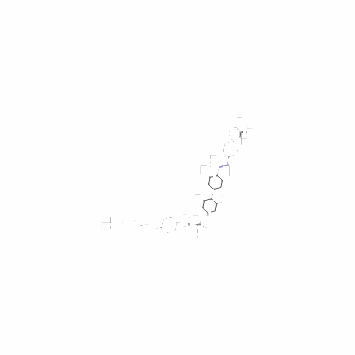 CCCCCC1CCC(OCC(F)(F)Oc2cc(F)c(-c3ccc(/C(F)=C(\F)C4CCC(OC(F)(F)F)CC4)c(F)c3)c(F)c2)CC1